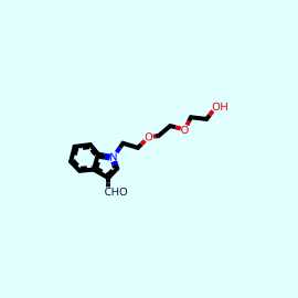 O=Cc1cn(CCOCCOCCO)c2ccccc12